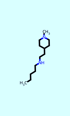 CCCCCNCCC1CCN(C)CC1